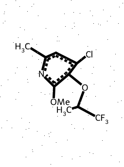 COc1nc(C)cc(Cl)c1OC(C)C(F)(F)F